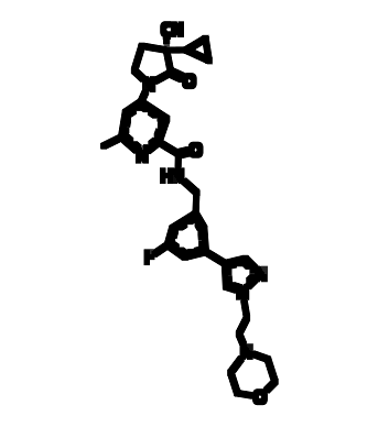 Cc1cc(N2CC[C@@](C#N)(C3CC3)C2=O)cc(C(=O)NCc2cc(F)cc(-c3cnn(CCN4CCOCC4)c3)c2)n1